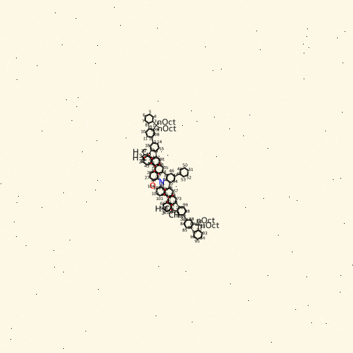 CCCCCCCCC1(CCCCCCCC)c2ccccc2-c2ccc(-c3ccc4c(c3)C(C)(C)c3cc(-c5ccc6c(c5)N(c5c(-c7ccc(-c8ccccc8)cc7)cc(-c7ccccc7)cc5-c5ccc(-c7ccccc7)cc5)c5cc(-c7ccc8c(c7)C(C)(C)c7cc(-c9ccc%10c(c9)C(CCCCCCCC)(CCCCCCCC)c9ccccc9-%10)ccc7-8)ccc5O6)ccc3-4)cc21